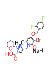 Cc1cc(OCc2ccc(F)cc2F)c(Br)c(=O)n1Cc1cc(C(=O)O)n(C2CCCCO2)n1.[NaH]